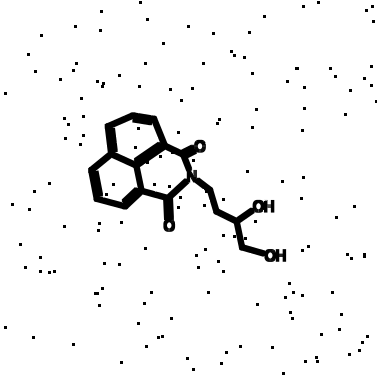 O=C1c2cccc3cccc(c23)C(=O)N1CCC(O)CO